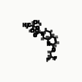 CC(C)(C)OC(=O)N1CCc2ccc(OCC(F)F)nc2C1